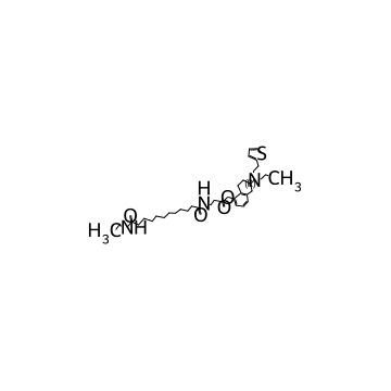 CCCN(CCc1cccs1)[C@@H]1CCc2c(cccc2OC(=O)CCNC(=O)CCCCCCCCCCC(=O)NCC)C1